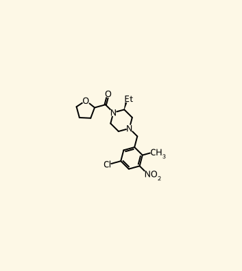 CC[C@H]1CN(Cc2cc(Cl)cc([N+](=O)[O-])c2C)CCN1C(=O)C1CCCO1